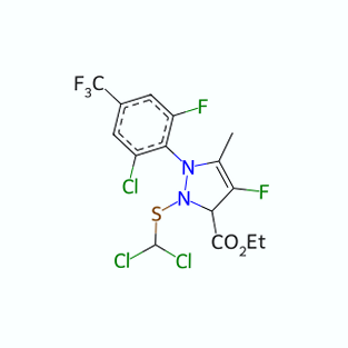 CCOC(=O)C1C(F)=C(C)N(c2c(F)cc(C(F)(F)F)cc2Cl)N1SC(Cl)Cl